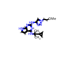 COCCn1cc(Nc2nc(NC(C)(C)C3CC3)c3cc[nH]c3n2)nn1